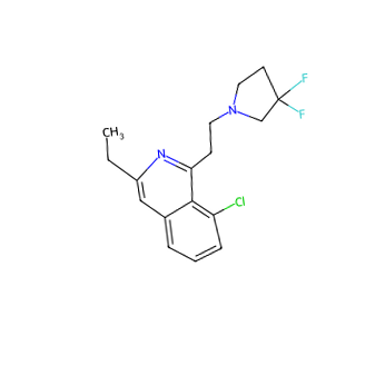 CCc1cc2cccc(Cl)c2c(CCN2CCC(F)(F)C2)n1